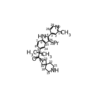 Cc1cc(-c2[nH]c3ccc(C(C)(C)C(=O)N4CC5(CCNCC5)C4)cc3c2C(C)C)ccn1